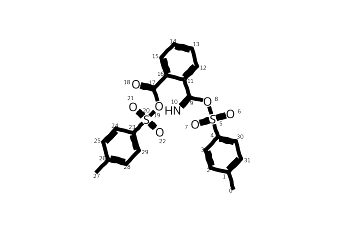 Cc1ccc(S(=O)(=O)OC(=N)c2ccccc2C(=O)OS(=O)(=O)c2ccc(C)cc2)cc1